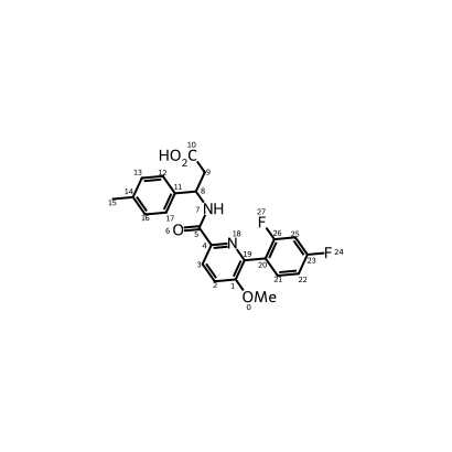 COc1ccc(C(=O)NC(CC(=O)O)c2ccc(C)cc2)nc1-c1ccc(F)cc1F